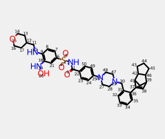 O=C(NS(=O)(=O)c1ccc(NCC2CCOCC2)c(NO)c1)c1ccc(N2CCN(Cc3ccccc3C3=CC4CC3C3CCCC43)CC2)cc1